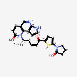 CCC[C@@H](C)[C@H](C/C=C\C(=O)c1ccc(N2CCCC2=O)s1)n1c(=O)ccc2cnc3[nH]ccc3c21